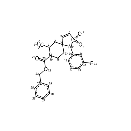 CC1CC2(C=CS(=O)(=O)N2c2cccc(F)c2)CCN1C(=O)OCc1ccccc1